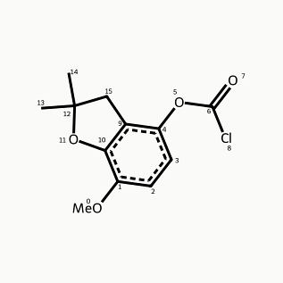 COc1ccc(OC(=O)Cl)c2c1OC(C)(C)C2